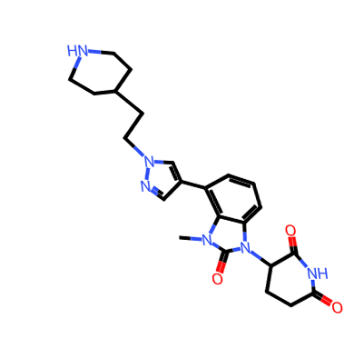 Cn1c(=O)n(C2CCC(=O)NC2=O)c2cccc(-c3cnn(CCC4CCNCC4)c3)c21